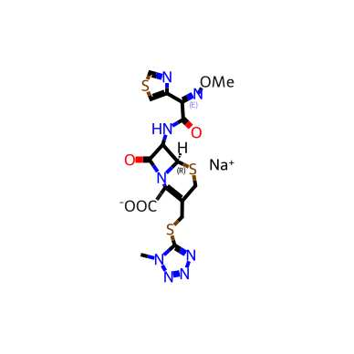 CO/N=C(/C(=O)NC1C(=O)N2C(C(=O)[O-])=C(CSc3nnnn3C)CS[C@H]12)c1cscn1.[Na+]